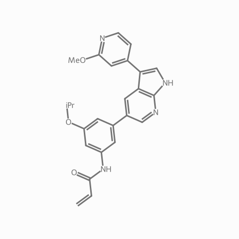 C=CC(=O)Nc1cc(OC(C)C)cc(-c2cnc3[nH]cc(-c4ccnc(OC)c4)c3c2)c1